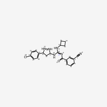 N#Cc1cccc(C(=O)/N=C(/NC2CCC2)NC2CC(c3ccc(Cl)cc3)NN2)c1